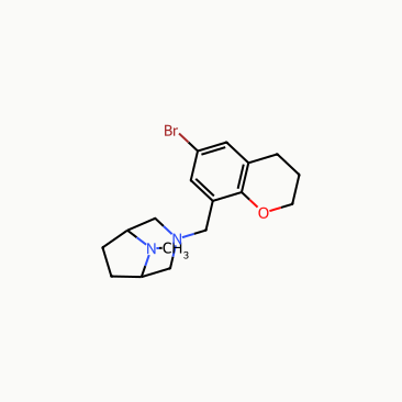 CN1C2CCC1CN(Cc1cc(Br)cc3c1OCCC3)C2